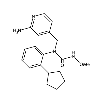 CONC(=O)N(Cc1ccnc(N)c1)c1ccccc1C1CCCC1